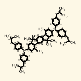 Cc1cc(N(c2ccc(CC(C)C)cc2)c2ccc(CC(C)C)cc2)cc2c1-c1cc3c(cc1C2(C)C)-c1c(C)cc(N(c2ccc(CC(C)C)cc2)c2ccc(CC(C)C)cc2)cc1C3(C)C